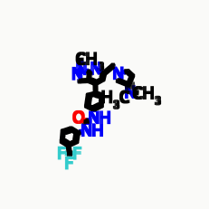 CN(C)[C@H]1CCN(Cc2cc(-c3ccc(NC(=O)Nc4cccc(C(F)(F)F)c4)cc3)c3cnn(C)c3n2)C1